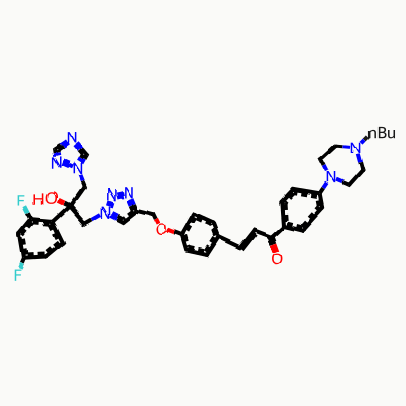 CCCCN1CCN(c2ccc(C(=O)/C=C/c3ccc(OCc4cn(CC(O)(Cn5cncn5)c5ccc(F)cc5F)nn4)cc3)cc2)CC1